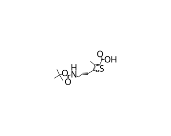 Cc1c(C#CCNC(=O)OC(C)(C)C)csc1C(=O)O